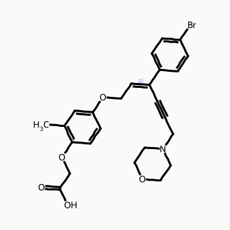 Cc1cc(OC/C=C(\C#CCN2CCOCC2)c2ccc(Br)cc2)ccc1OCC(=O)O